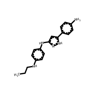 CCCNc1ccc(Nc2cc(-c3ccc(N)cc3)[nH]n2)cc1